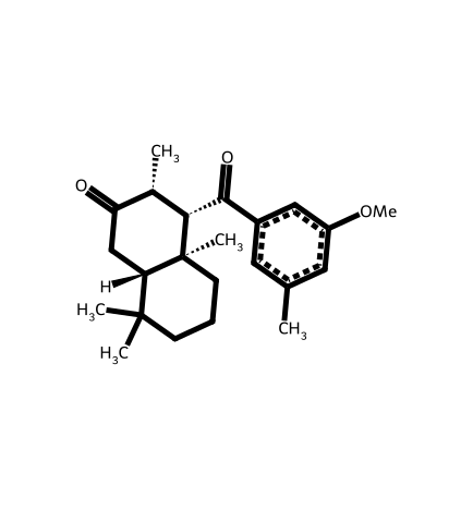 COc1cc(C)cc(C(=O)[C@H]2[C@@H](C)C(=O)C[C@H]3C(C)(C)CCC[C@]23C)c1